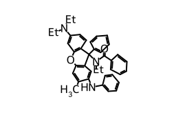 CCN(CC)c1ccc2c(c1)Oc1cc(C)c(Nc3ccccc3)cc1C2(c1ccccc1)N(CC)C(=O)c1ccccc1